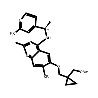 COCC1(COc2cc3c(N[C@H](C)c4ccnc(C(F)(F)F)c4)nc(C)nc3cc2C(F)(F)F)CC1